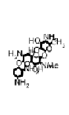 CNC1C(O[C@H]2OC(C)[C@@H](N)C(O)[C@H]2O)O[C@H]2CC(N)C(O[C@H]3CC[C@H](N)CC3N)OC2C1O